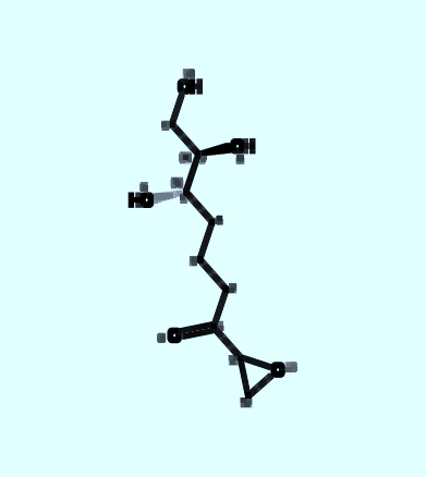 O=C(CCC[C@H](O)[C@H](O)CO)C1CO1